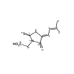 CC(C)=C/C=C1\SC(=S)N(CC(=O)O)C1=O